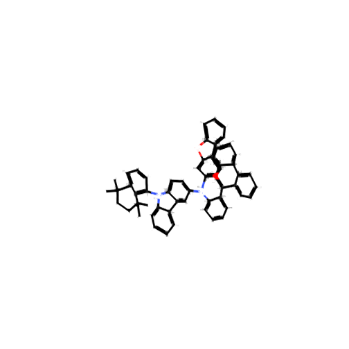 CC1(C)CCC(C)(C)c2c(-n3c4ccccc4c4cc(N(c5ccc6c(c5)oc5ccccc56)c5ccccc5-c5cc6ccccc6c6ccccc56)ccc43)cccc21